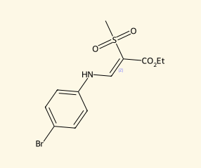 CCOC(=O)/C(=C/Nc1ccc(Br)cc1)S(C)(=O)=O